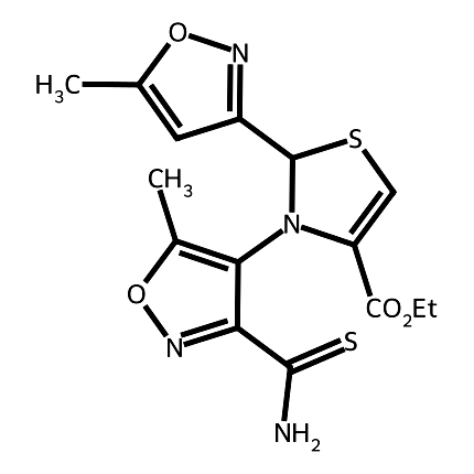 CCOC(=O)C1=CSC(c2cc(C)on2)N1c1c(C(N)=S)noc1C